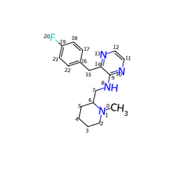 CN1CCCCC1CNc1nccnc1Cc1ccc(F)cc1